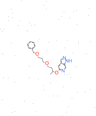 CC(CCOCCCOCc1ccccc1)Oc1cc2cn[nH]c2cn1